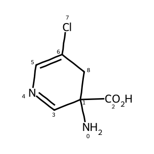 NC1(C(=O)O)C=NC=C(Cl)C1